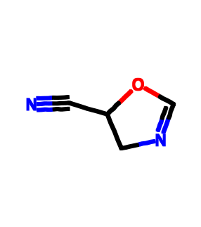 N#CC1CN=CO1